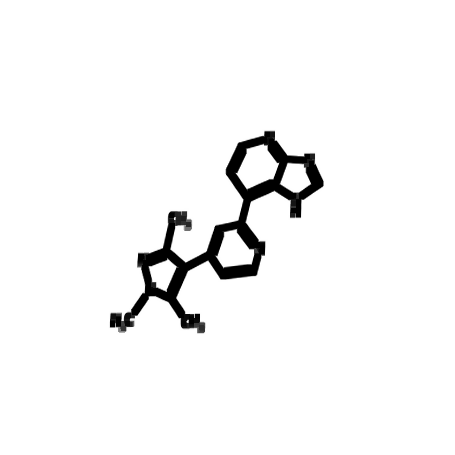 Cc1nn(C)c(C)c1-c1ccnc(-c2ccnc3nc[nH]c23)c1